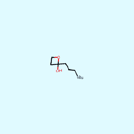 CCCCCCCC1(O)CCO1